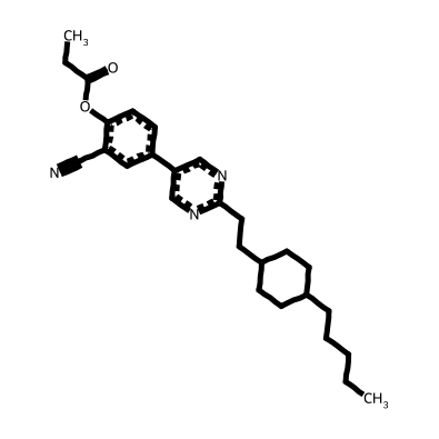 CCCCCC1CCC(CCc2ncc(-c3ccc(OC(=O)CC)c(C#N)c3)cn2)CC1